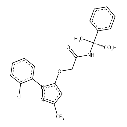 C[C@@](NC(=O)COc1cc(C(F)(F)F)nn1-c1ccccc1Cl)(C(=O)O)c1ccccc1